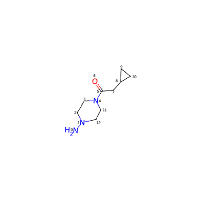 NN1CCN(C(=O)CC2CC2)CC1